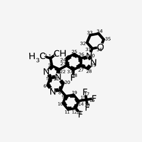 CC(C)c1nc2cnc(-c3ccc(F)c(C(F)(F)F)c3)cn2c1-c1ccc2c(cnn2C2CCCCO2)c1F